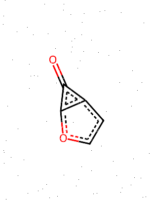 O=c1c2ccoc12